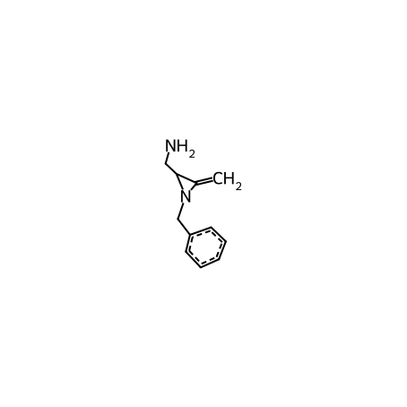 C=C1C(CN)N1Cc1ccccc1